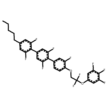 CCCCCc1cc(F)c(-c2cc(F)c(-c3ccc(OCC(F)(F)Oc4cc(F)c(F)c(F)c4)c(F)c3)c(F)c2)c(F)c1